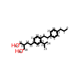 CCCc1ccc(CCc2ccc(CCC(CO)CO)cc2C(C)C)cc1